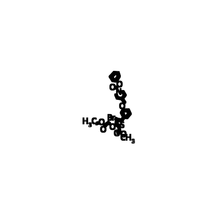 CCOC(=O)COc1c(C(=O)OC)sc(-c2cccc(OCC3CCN(C(=O)Oc4ccccc4)CC3)c2)c1Br